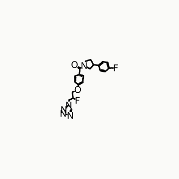 O=C(c1ccc(OCC(F)Cn2cnnn2)cc1)N1CCC(c2ccc(F)cc2)C1